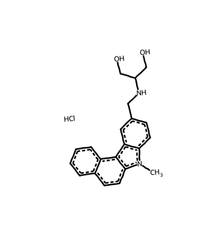 Cl.Cn1c2ccc(CNC(CO)CO)cc2c2c3ccccc3ccc21